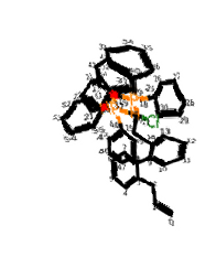 C=CCc1ccccc1-c1ccccc1CC(Cl)([PH](c1ccccc1)(c1ccccc1)c1ccccc1)[PH](c1ccccc1)(c1ccccc1)c1ccccc1